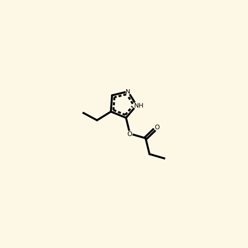 CCC(=O)Oc1[nH]ncc1CC